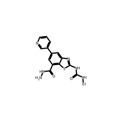 CCNC(=O)Nc1nc2cc(-c3cccnc3)cc(C(=O)NN)c2s1